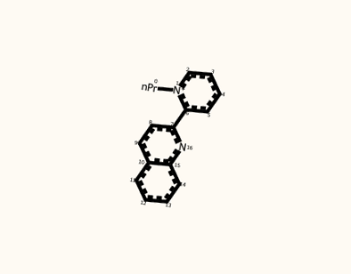 CCC[n+]1ccccc1-c1ccc2ccccc2n1